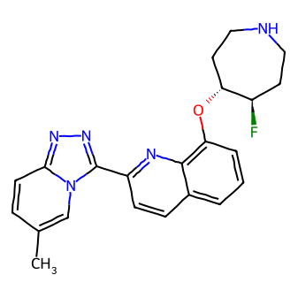 Cc1ccc2nnc(-c3ccc4cccc(O[C@@H]5CCNCC[C@H]5F)c4n3)n2c1